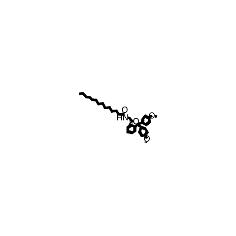 CCCCCCCCCCCCCC(=O)NC[C@H](C)OC(c1ccccc1)(c1ccc(OC)cc1)c1ccc(OC)cc1